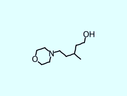 CC(CCO)CCN1CCOCC1